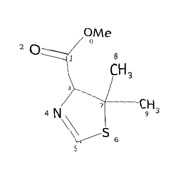 COC(=O)C1N=[C]SC1(C)C